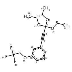 CCOC(C#Cc1cncc(OCC(F)(F)F)c1)(OCC)OCC